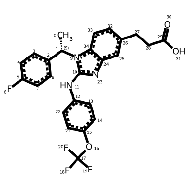 C[C@@H](c1ccc(F)cc1)n1c(Nc2ccc(OC(F)(F)F)cc2)nc2cc(CCC(=O)O)ccc21